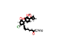 COC(=O)CCC/C=C\C[C@@H]1[C@@H](c2ccc(C3(O)CCC3)cc2)[C@H](O)C[C@H]1Cl